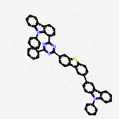 c1ccc(-c2nc(-c3ccc4c(c3)sc3ccc(-c5ccc6c(c5)c5ccccc5n6-c5ccccc5)cc34)nc(-c3cccc4c5ccccc5n(-c5ccccc5)c34)n2)cc1